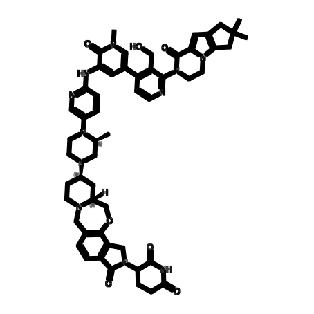 C[C@H]1CN([C@@H]2CCN3Cc4ccc5c(c4OC[C@H]3C2)CN(C2CCC(=O)NC2=O)C5=O)CCN1c1ccc(Nc2cc(-c3ccnc(N4CCn5c(cc6c5CC(C)(C)C6)C4=O)c3CO)cn(C)c2=O)nc1